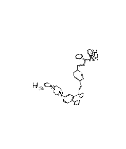 CN1CCN(c2ccc(Cl)c(C(=O)C=Cc3ccc(C=CC(=O)NO)cc3)c2)CC1